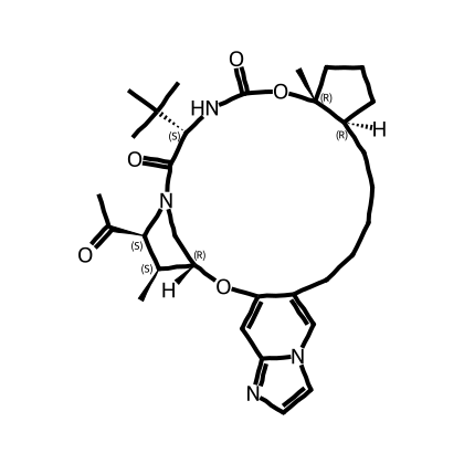 CC(=O)[C@@H]1[C@H](C)[C@@H]2CN1C(=O)[C@H](C(C)(C)C)NC(=O)O[C@]1(C)CCC[C@H]1CCCCCc1cn3ccnc3cc1O2